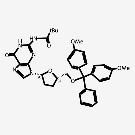 COc1ccc(C(OC[C@@H]2CC[C@H](n3cnc4c(=O)[nH]c(NC(=O)C(C)(C)C)nc43)O2)(c2ccccc2)c2ccc(OC)cc2)cc1